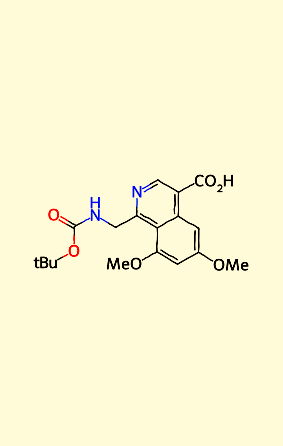 COc1cc(OC)c2c(CNC(=O)OC(C)(C)C)ncc(C(=O)O)c2c1